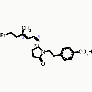 C/C(=C\C=C/[C@H]1CCC(=O)N1CCc1ccc(C(=O)O)cc1)CCC(C)C